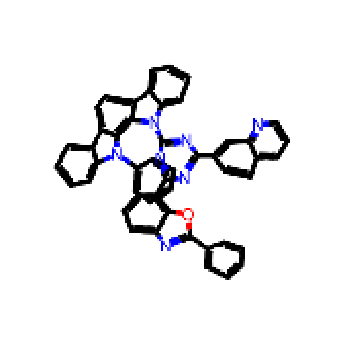 c1ccc(-c2nc3cccc(-c4nc(-c5ccc6cccnc6c5)nc(-n5c6ccccc6c6ccc7c8ccccc8n(-c8ccccc8)c7c65)n4)c3o2)cc1